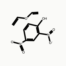 C=COC=C.O=[N+]([O-])c1ccc(O)c([N+](=O)[O-])c1